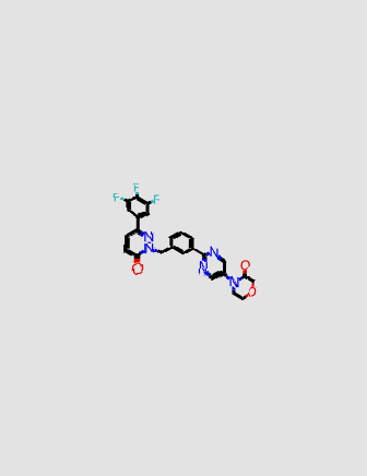 O=C1COCCN1c1cnc(-c2cccc(Cn3nc(-c4cc(F)c(F)c(F)c4)ccc3=O)c2)nc1